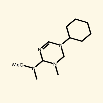 CON(C)C1N=CN(C2CCCCC2)CN1C